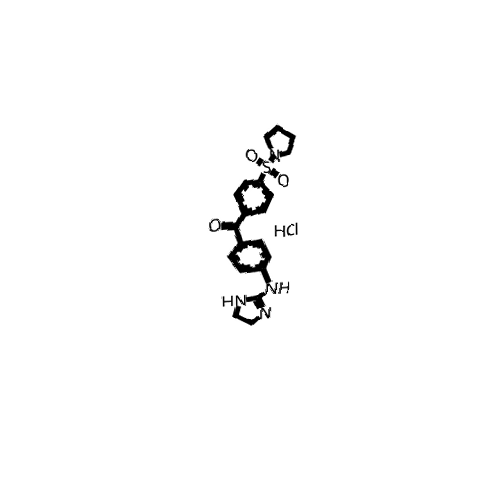 Cl.O=C(c1ccc(NC2=NCCN2)cc1)c1ccc(S(=O)(=O)N2CCCC2)cc1